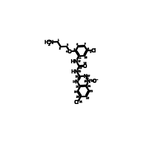 NCCCOc1ccc(Cl)cc1NC(=O)Nc1nc2cc(Cl)ccc2[n+]([O-])n1